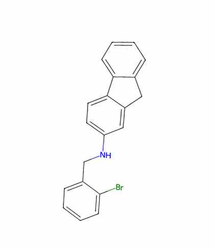 Brc1ccccc1CNc1ccc2c(c1)Cc1ccccc1-2